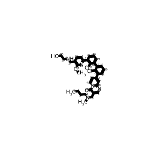 CCCCN(C)Cc1cnc2cc(-c3cccc(-c4cccc(-c5ccc(CNCCO)c(OC)n5)c4Cl)c3Cl)ccn2c1=O